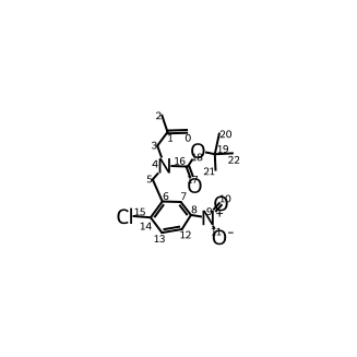 C=C(C)CN(Cc1cc([N+](=O)[O-])ccc1Cl)C(=O)OC(C)(C)C